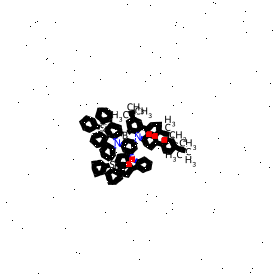 CC(C)(C)c1ccc(-c2ccc(N3c4cc(-n5c6ccccc6c6ccccc65)cc5c4B(c4ccc([Si](c6ccccc6)(c6ccccc6)c6ccccc6)cc4N5c4cccc([Si](c5ccccc5)(c5ccccc5)c5ccccc5)c4)c4cc(C(C)(C)C)cc(-c5ccc(C(C)(C)C)cc5)c43)cc2)cc1